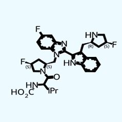 CC(C)C(NC(=O)O)C(=O)N1C[C@@H](F)C[C@H]1Cn1c(-c2[nH]c3ccccc3c2C[C@@H]2C[C@H](F)CN2)nc2cc(F)ccc21